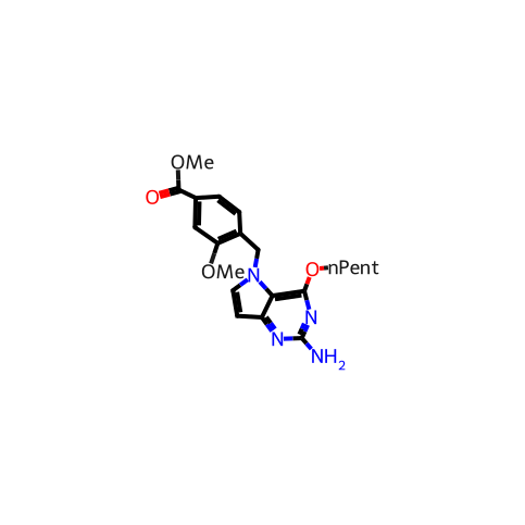 CCCCCOc1nc(N)nc2ccn(Cc3ccc(C(=O)OC)cc3OC)c12